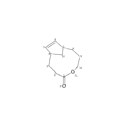 O=C1CCC2C=CC(CCCO1)C2